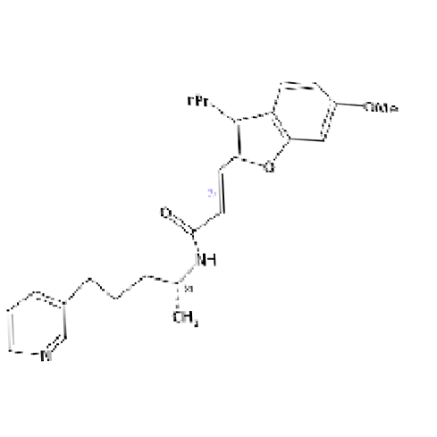 CCCc1c(/C=C/C(=O)N[C@H](C)CCCc2cccnc2)oc2cc(OC)ccc12